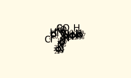 O=C(NC(Cc1ccc(Cl)cc1)C(=O)O)c1cc(N2CCN(c3ccccn3)CC2)nc(N2CCN(c3ccccn3)CC2)n1